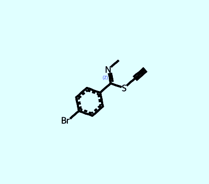 C#CS/C(=N\C)c1ccc(Br)cc1